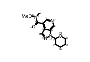 CON(C)C(=O)c1cncc2c1cnn2C1CCCCO1